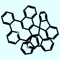 c1ccc(-c2cccc(-c3ccccc3-c3cc4c(c5ccccc35)C3(c5ccccc5-c5ccccc53)c3c-4c4ccccc4c4ccccc34)n2)nc1